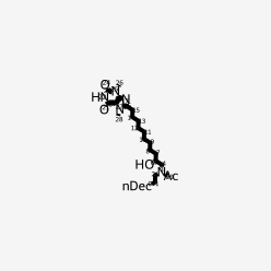 CCCCCCCCCCCCN(CC(O)CCCCCCCCCc1nc2c(c(=O)[nH]c(=O)n2C)n1C)C(C)=O